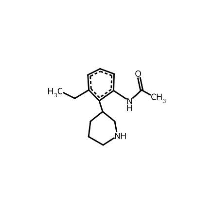 CCc1cccc(NC(C)=O)c1C1CCCNC1